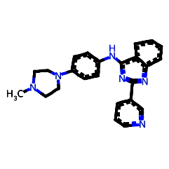 CN1CCN(c2ccc(Nc3nc(-c4cccnc4)nc4ccccc34)cc2)CC1